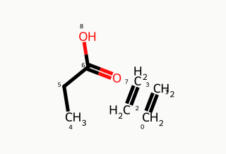 C=C.C=C.CCC(=O)O